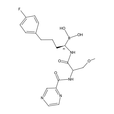 COCC(NC(=O)c1cnccn1)C(=O)N[C@@H](CCCc1ccc(F)cc1)B(O)O